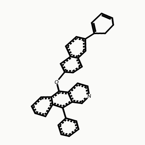 C1=CCCC(c2ccc3cc(Oc4c5ccccc5c(-c5ccccc5)c5cnccc45)ccc3c2)=C1